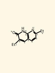 CCc1ccc2cc(CC)c(=O)[nH]c2n1